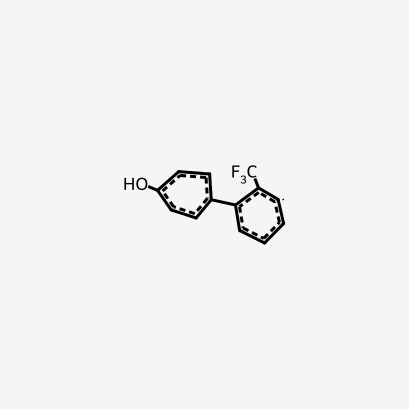 Oc1ccc(-c2ccc[c]c2C(F)(F)F)cc1